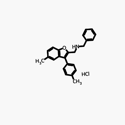 Cc1ccc(-c2c(CNCc3ccccc3)oc3ccc(C)cc23)cc1.Cl